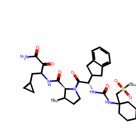 CC(C)(C)C1CCN(C(=O)[C@@H](NC(=O)NC2(CS(=O)(=O)C(C)(C)C)CCCCC2)C2Cc3ccccc3C2)[C@@H]1C(=O)NC(CC1CC1)C(=O)C(N)=O